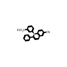 CCOC(=O)c1cccc(N2C(c3ccccc3)=C=Cc3cc(C#N)ccc32)c1